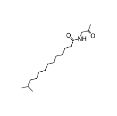 CC(=O)CNC(=O)CCCCCCCCCCC(C)C